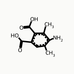 Cc1cc(C(=O)O)c(C(=O)O)c(C)c1N